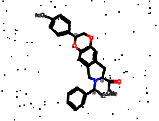 CC[C@@H](c1ccccc1)N1Cc2cc3c(cc2C[C@H]1C(=O)OC)OC[C@H](c1ccc(OC(C)=O)cc1)O3